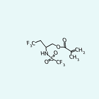 C=C(C)C(=O)OCC(CC(F)(F)F)NS(=O)(=O)C(F)(F)F